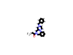 O=C(CC(F)(F)F)N1Cc2ccccc2N2CCN(Cc3ccccc3)CC2C1